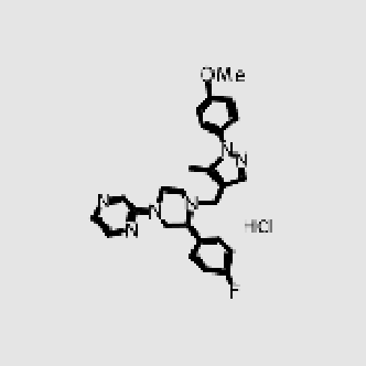 COc1ccc(-n2ncc(CN3CCN(c4cnccn4)CC3c3ccc(F)cc3)c2C)cc1.Cl